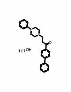 Cl.Cl.O=C(CCN1CCN(c2ccccc2)CC1)c1ccc(-c2ccccc2)cc1